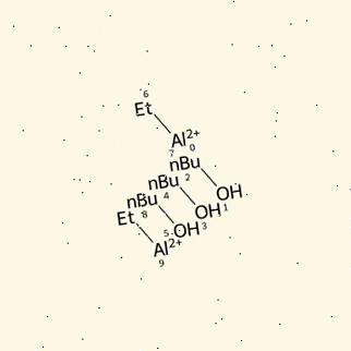 CCCCO.CCCCO.CCCCO.C[CH2][Al+2].C[CH2][Al+2]